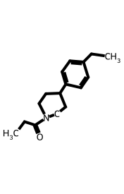 CCC(=O)N1CCC(c2ccc(CC)cc2)CC1